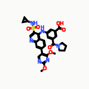 COc1ncc(-c2ccc3c(Nc4cc(C(=O)O)cc(C(=O)N5CCCC5)c4)c(S(=O)(=O)NC4CC4)cnc3c2)c(OC)n1